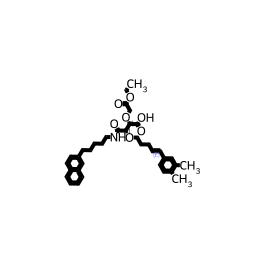 CCOC(=O)CO[C@@H](C(=O)O)[C@@H](OCCC/C=C/c1ccc(C)c(C)c1)C(=O)NCCCCCc1ccc2ccccc2c1